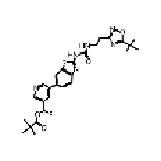 CC(C)(C)C(=O)OC(F)c1cncc(-c2ccc3nc(NC(=O)NCCc4noc(C(C)(C)C)n4)sc3c2)c1